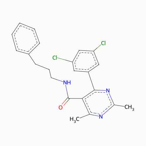 Cc1nc(C)c(C(=O)NCCCc2ccccc2)c(-c2cc(Cl)cc(Cl)c2)n1